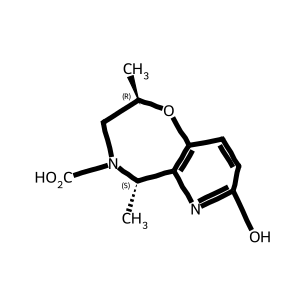 C[C@@H]1CN(C(=O)O)[C@@H](C)c2nc(O)ccc2O1